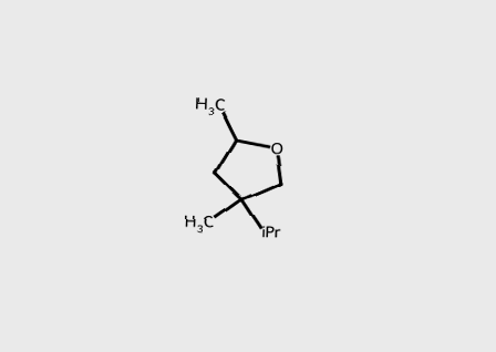 CC1CC(C)(C(C)C)CO1